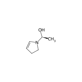 C[C@H](O)N1C=CCC1